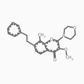 COc1c(N2CCOCC2)oc2c(C)c(CCc3ccccc3)ccc2c1=O